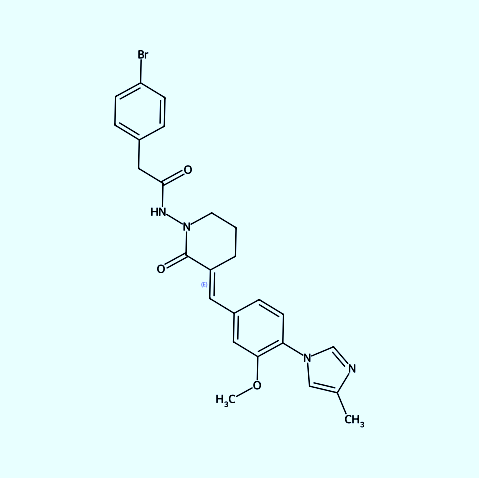 COc1cc(/C=C2\CCCN(NC(=O)Cc3ccc(Br)cc3)C2=O)ccc1-n1cnc(C)c1